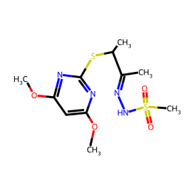 COc1cc(OC)nc(SC(C)C(C)=NNS(C)(=O)=O)n1